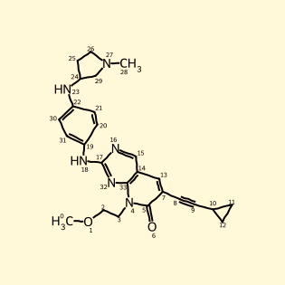 COCCn1c(=O)c(C#CC2CC2)cc2cnc(Nc3ccc(NC4CCN(C)C4)cc3)nc21